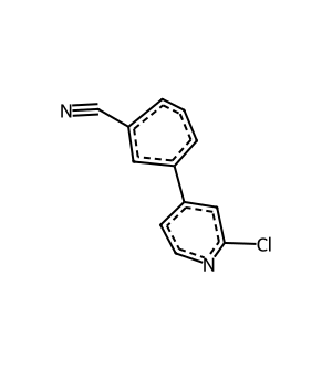 N#Cc1cccc(-c2ccnc(Cl)c2)c1